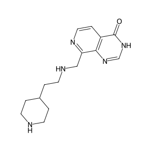 O=c1[nH]cnc2c(CNCCC3CCNCC3)nccc12